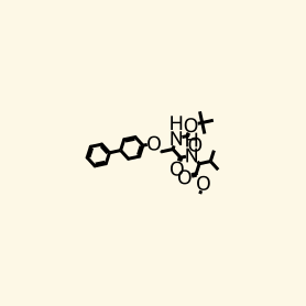 COC(=O)C(NC(=O)C(COC1=CCC(c2ccccc2)C=C1)NC(=O)OC(C)(C)C)C(C)C